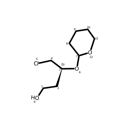 OCC[C@@H](CCl)OC1CCCCO1